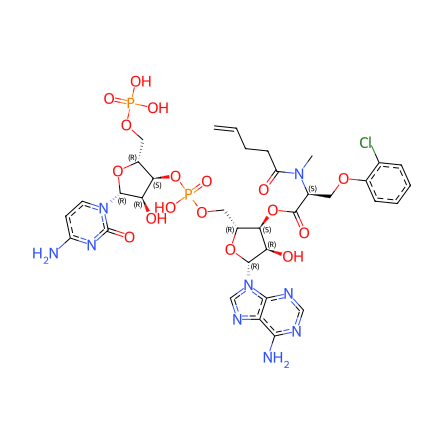 C=CCCC(=O)N(C)[C@@H](COc1ccccc1Cl)C(=O)O[C@H]1[C@@H](O)[C@H](n2cnc3c(N)ncnc32)O[C@@H]1COP(=O)(O)O[C@H]1[C@@H](O)[C@H](n2ccc(N)nc2=O)O[C@@H]1COP(=O)(O)O